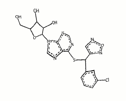 OCC1OC(n2cnc3c(SC(c4cccc(Cl)c4)c4cnon4)ncnc32)C(O)C1O